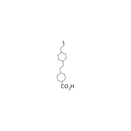 C=CCC1CCC(CCC2CCC(C(=O)O)CC2)CC1